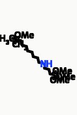 CO[Si](C)(C)CCCCCCCCNCCC[Si](OC)(OC)OC